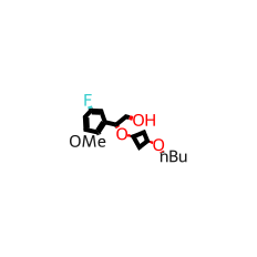 CCCCO[C@H]1C[C@@H](OC(CO)c2cc(F)ccc2OC)C1